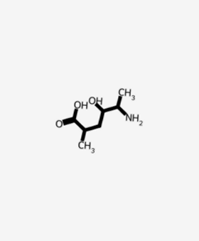 CC(CC(O)C(C)N)C(=O)O